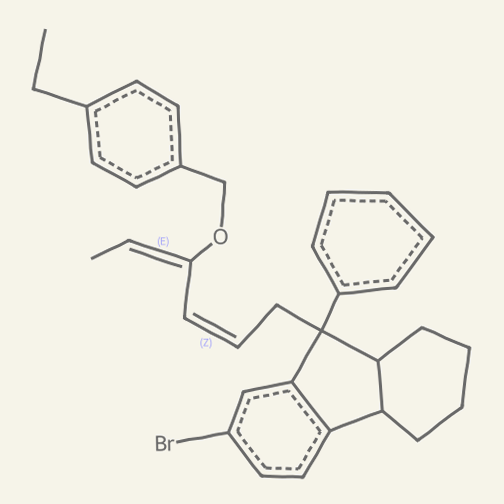 C/C=C(\C=C/CC1(c2ccccc2)c2cc(Br)ccc2C2CCCCC21)OCc1ccc(CC)cc1